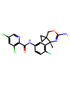 C[C@]1(c2cc(NC(=O)c3ncc(Cl)cc3Cl)ccc2F)N=C(N)OCC12CC2